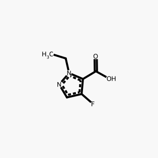 CCn1ncc(F)c1C(=O)O